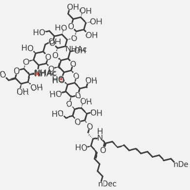 CCCCCCCCCCCCC/C=C/[C@@H](O)[C@H](CO[C@@H]1OC(CO)[C@@H](O[C@@H]2OC(CO)[C@H](O[C@@H]3OC(CO)[C@H](O[C@@H]4OC(CO)[C@H](O)[C@H](O[C@@H]5OC(CO)[C@H](O)[C@H](O)C5O)C4NC(C)=O)[C@H](O[C@@H]4OC(CO)[C@H](O)[C@H](O[C@H]5OC(CO)[C@H](O)[C@H](O)C5NC(C)=O)C4NC(C)=O)C3O)[C@H](O)C2O)[C@H](O)C1O)NC(=O)CCCCCCCCCCCCCCCCCCCCC